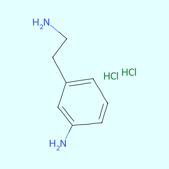 Cl.Cl.NCCc1cccc(N)c1